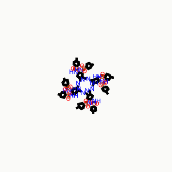 Cc1ccc(S(=O)(=O)Nc2cc3c(cc2NS(=O)(=O)c2ccc(C)cc2)-c2nc-3nc3[nH]c(nc4nc(nc5[nH]c(n2)c2cc(NS(=O)(=O)c6ccc(C)cc6)c(NS(=O)(=O)c6ccc(C)cc6)cc52)-c2cc(NS(=O)(=O)c5ccc(C)cc5)c(NS(=O)(=O)c5ccc(C)cc5)cc2-4)c2cc(NS(=O)(=O)c4ccc(C)cc4)c(NS(=O)(=O)c4ccc(C)cc4)cc32)cc1